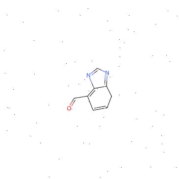 O=CC1=C2N=CN=C2CC=C1